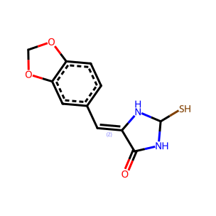 O=C1NC(S)N/C1=C\c1ccc2c(c1)OCO2